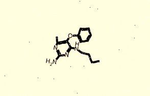 CCCCNc1nc(N)nc(C)c1Oc1ccccc1